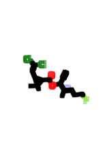 C#CC(OC(=O)C1C(C=C(Cl)Cl)C1(C)C)/C(C)=C/CCF